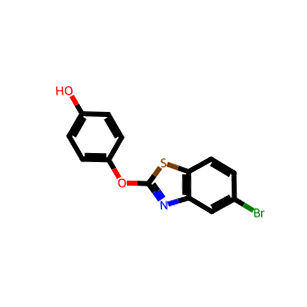 Oc1ccc(Oc2nc3cc(Br)ccc3s2)cc1